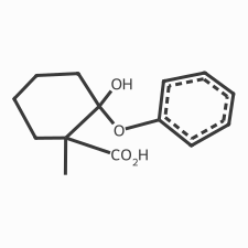 CC1(C(=O)O)CCCCC1(O)Oc1ccccc1